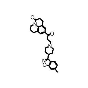 Cc1ccc2c(C3CCN(CCC(=O)c4cc5c6c(c4)CCC(=O)N6CCC5)CC3)noc2c1